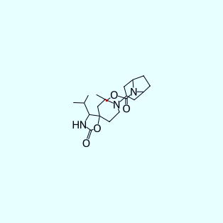 CCOC(=O)N1C2CCC1CC(N1CCC3(CC1)OC(=O)NC3C(C)C)C2